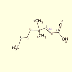 CCCCC(C)(C)/C=C/C(=O)O